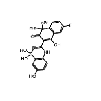 CCCC1(CCC)C(=O)C(C2=NS(O)(O)c3cc(O)ccc3N2)=C(O)c2cc(F)ccc21